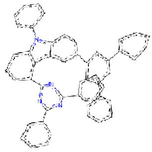 c1ccc(-c2cc(-c3ccccc3)cc(-c3ccc4c(c3)c3c(-c5nc(-c6ccccc6)nc(-c6ccccc6)n5)cccc3n4-c3ccccc3)c2)cc1